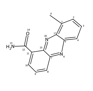 Cc1cccc2nc3cccc(C(N)=O)c3nc12